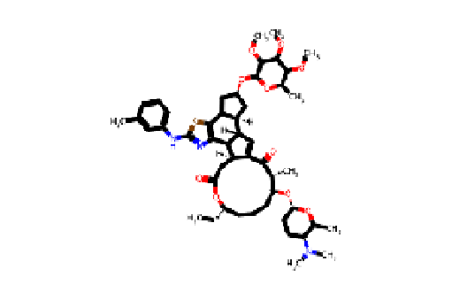 CC[C@H]1CCC[C@H](O[C@H]2CC[C@H](N(C)C)C(C)O2)[C@@H](C)C(=O)C2=C[C@@H]3C(c4nc(Nc5cccc(C)c5)sc4C4C[C@@H](OC5OC(C)C(OC)C(OC)C5OC)C[C@H]43)[C@@H]2CC(=O)O1